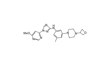 COc1cc(-n2cnc(Nc3cc(C)cc(N4CCN(C5COC5)CC4)c3)n2)ncn1